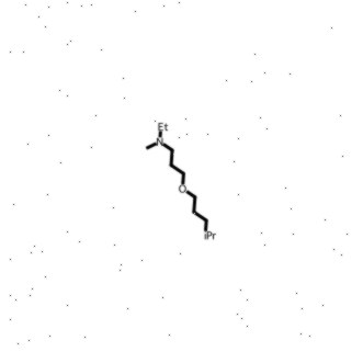 CCN(C)CCCOCCCC(C)C